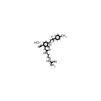 Cc1ccc(C(F)(F)CNc2ccc(C#N)c(CC(=O)NCCONC(=N)N)c2F)nc1.Cl